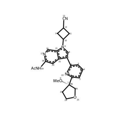 CO[C@@]1(c2cccc(-c3cn(C4CC(C#N)C4)c4cnc(NC(C)=O)cc34)n2)CCOC1